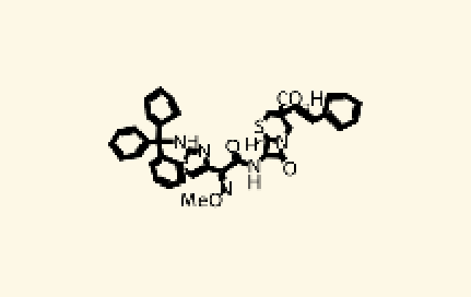 CON=C(C(=O)NC1C(=O)N2CC(C=Cc3ccccc3)(C(=O)O)CS[C@H]12)c1csc(NC(c2ccccc2)(c2ccccc2)c2ccccc2)n1